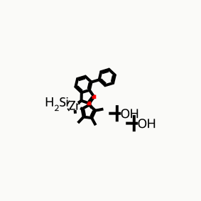 CC(C)(C)O.CC(C)(C)O.CC1=Cc2c(-c3ccccc3)cccc2[CH]1[Zr]([CH3])([CH3])(=[SiH2])[C]1=C(C)C(C)=C(C)C1C